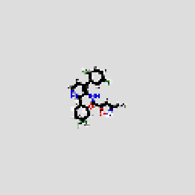 CC(C)c1cc(C(=O)Nc2c(-c3cc(F)ccc3F)ccnc2C2CCC(F)(F)CC2)on1